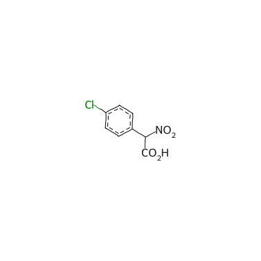 O=C(O)C(c1ccc(Cl)cc1)[N+](=O)[O-]